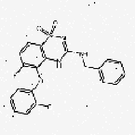 O=S1(=O)N=C(NCc2ccccc2)Nc2c1ccc(F)c2Oc1ccccc1Cl